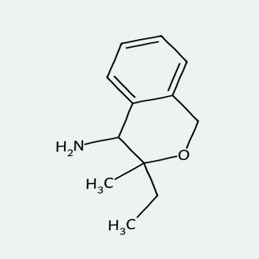 CCC1(C)OCc2ccccc2C1N